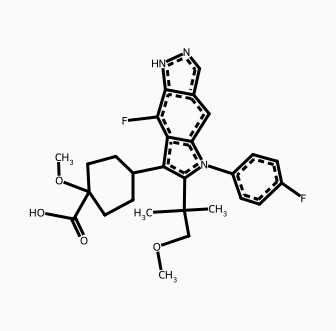 COCC(C)(C)c1c(C2CCC(OC)(C(=O)O)CC2)c2c(F)c3[nH]ncc3cc2n1-c1ccc(F)cc1